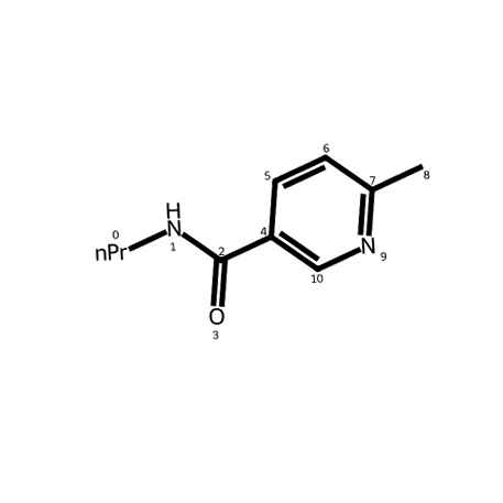 CCCNC(=O)c1ccc(C)nc1